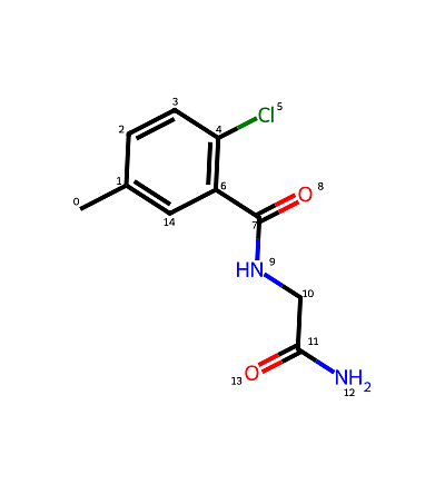 Cc1ccc(Cl)c(C(=O)NCC(N)=O)c1